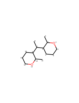 CC1OCCCC1C(C)C1CCCOC1C